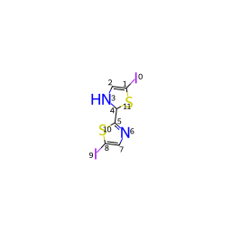 IC1=CNC(c2ncc(I)s2)S1